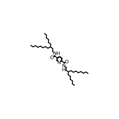 CCCCCCCCC(CCCCCC)CCNC(=O)c1ccc(C(=O)NCCC(CCCCCC)CCCCCCCC)nc1